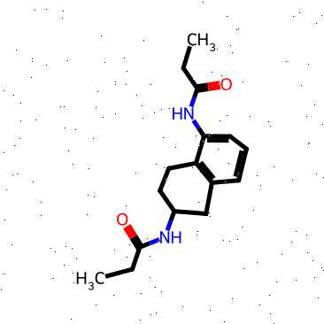 CCC(=O)Nc1cccc2c1CCC(NC(=O)CC)C2